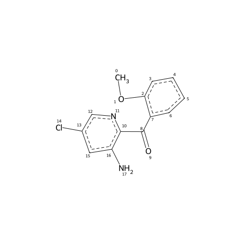 COc1ccccc1C(=O)c1ncc(Cl)cc1N